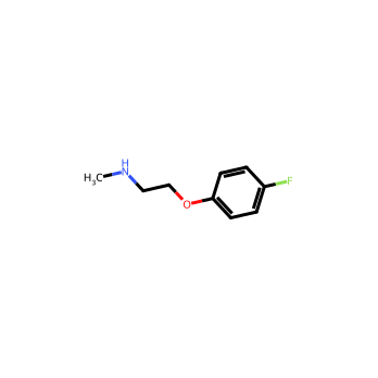 CNCCOc1ccc(F)cc1